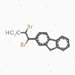 O=C(O)C(Br)C(Br)c1ccc2c(c1)Cc1ccccc1-2